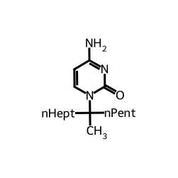 CCCCCCCC(C)(CCCCC)n1ccc(N)nc1=O